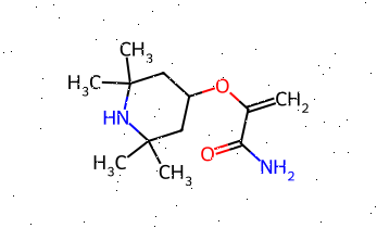 C=C(OC1CC(C)(C)NC(C)(C)C1)C(N)=O